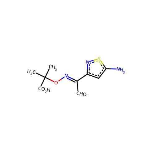 CC(C)(O/N=C(\[C]=O)c1cc(N)sn1)C(=O)O